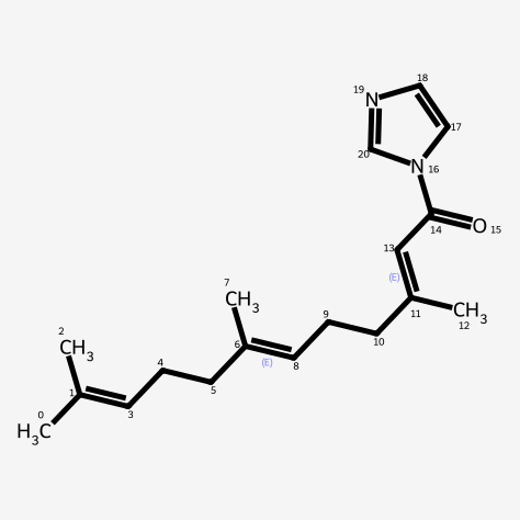 CC(C)=CCC/C(C)=C/CC/C(C)=C/C(=O)n1ccnc1